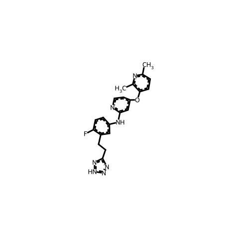 Cc1ccc(Oc2ccnc(Nc3ccc(F)c(CCc4nn[nH]n4)c3)c2)c(C)n1